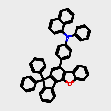 c1ccc(N(c2ccc(-c3cc4c(c5oc6ccccc6c35)-c3ccccc3C4(c3ccccc3)c3ccccc3)cc2)c2cccc3ccccc23)cc1